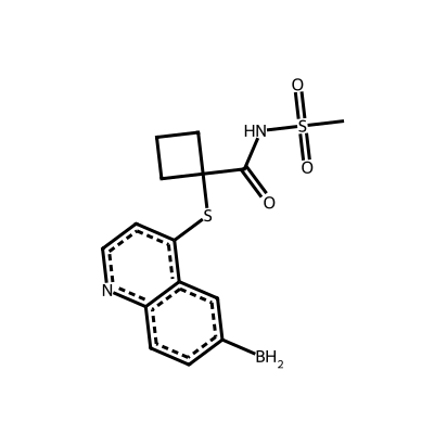 Bc1ccc2nccc(SC3(C(=O)NS(C)(=O)=O)CCC3)c2c1